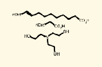 CCCCCCCCC=CCCCCCCCC(=O)O.CCCCCCCCCCCC(=O)O.OCCN(CCO)CCO